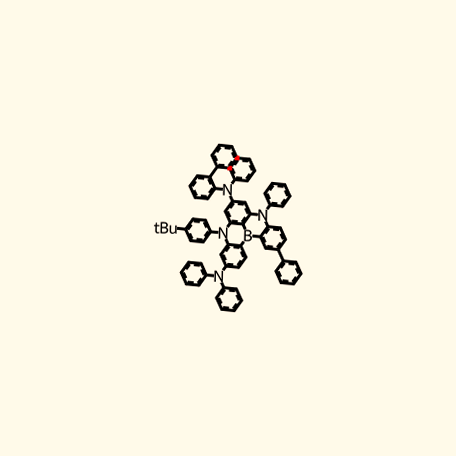 CC(C)(C)c1ccc(N2c3cc(N(c4ccccc4)c4ccccc4)ccc3B3c4cc(-c5ccccc5)ccc4N(c4ccccc4)c4cc(N(c5ccccc5)c5ccccc5-c5ccccc5)cc2c43)cc1